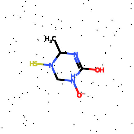 CC1N=C(O)[NH+]([O-])CN1S